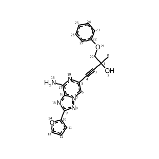 CC(O)(C#Cc1cn2nc(-c3ccco3)nc2c(N)n1)COc1ccccc1